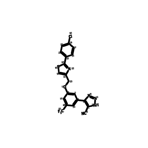 N#Cc1[nH]nnc1-c1cc(OCc2csc(-c3ccc(Cl)cc3)n2)cc(C(F)(F)F)c1